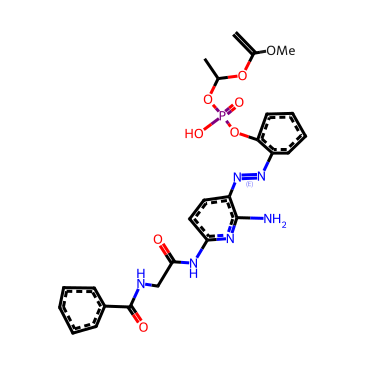 C=C(OC)OC(C)OP(=O)(O)Oc1ccccc1/N=N/c1ccc(NC(=O)CNC(=O)c2ccccc2)nc1N